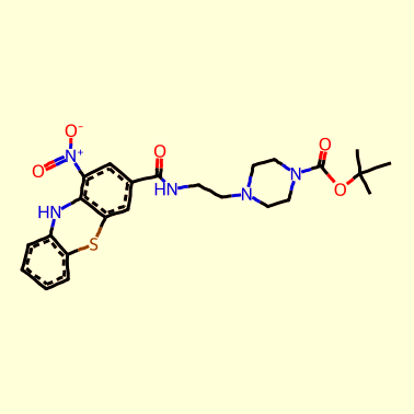 CC(C)(C)OC(=O)N1CCN(CCNC(=O)c2cc3c(c([N+](=O)[O-])c2)Nc2ccccc2S3)CC1